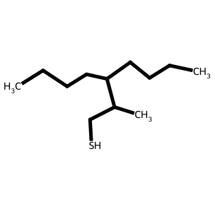 CCCCC(CCCC)C(C)CS